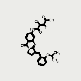 CC(C)Oc1ccccc1C=C1CCn2c1nc1cc(NC(=O)C(Cl)=C(Cl)C(=O)O)ccc1c2=O